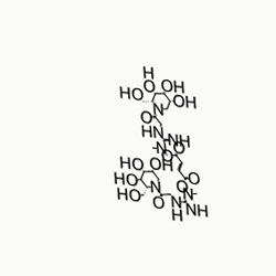 CN(OC(=O)/C=C/C(=O)ON(C)C(=N)NCC(=O)N1C[C@@H](O)[C@@H](O)[C@H](O)[C@H]1CO)C(=N)NCC(=O)N1C[C@@H](O)[C@@H](O)[C@H](O)[C@H]1CO